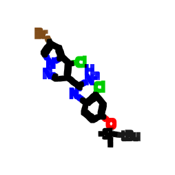 CC(C)(C)[Si](C)(C)Oc1ccc(/N=C(\N)c2cnn3cc(Br)cc3c2Cl)c(Cl)c1